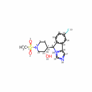 CS(=O)(=O)N1CC[C@@H](C2c3ccc(F)cc3-c3cncn32)[C@H](O)C1